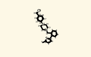 Cc1ccc(-c2ccccc2CN2CCN(c3ccc(C=O)cc3)CC2)s1